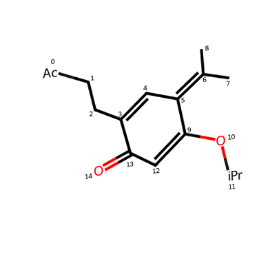 CC(=O)CCC1=CC(=C(C)C)C(OC(C)C)=CC1=O